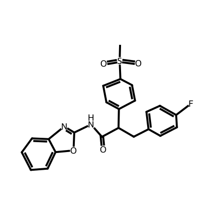 CS(=O)(=O)c1ccc(C(Cc2ccc(F)cc2)C(=O)Nc2nc3ccccc3o2)cc1